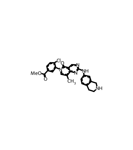 COC(=O)c1ccc(Cl)c(-n2cc(C)c3nc(Nc4ccc5c(c4)CNCC5)ncc3c2=O)c1